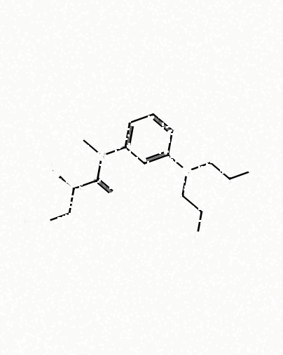 CN(C(=O)[C@H](N)CC(=O)O)c1cccc(N(CCCl)CCCl)c1